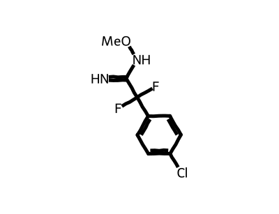 CONC(=N)C(F)(F)c1ccc(Cl)cc1